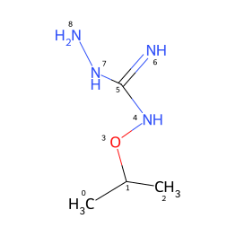 CC(C)ONC(=N)NN